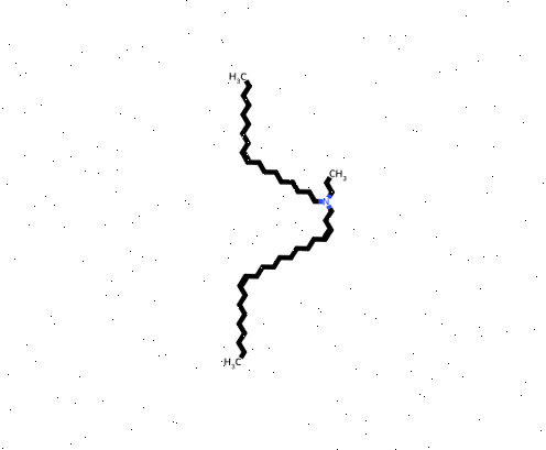 CCCCCCCC/C=C\CCCCCCCC/C=C\CCN(CCC)CCCCCCCC/C=C\CCCCCCCC